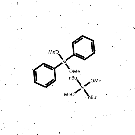 CCCC[Si](CCCC)(OC)OC.CO[Si](OC)(c1ccccc1)c1ccccc1